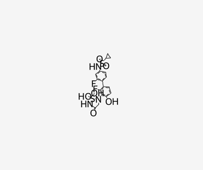 O=C1CN(c2c(O)ccc(-c3ccc(NS(=O)(=O)C4CC4)cc3F)c2F)S(O)(O)N1